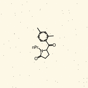 CCCN1C(=O)CCC1C(=O)c1ccc(C)cc1C